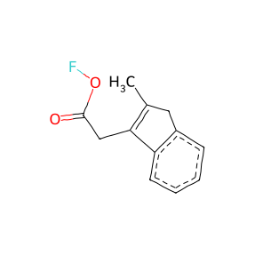 CC1=C(CC(=O)OF)c2ccccc2C1